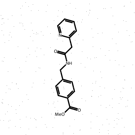 COC(=O)c1ccc(CNC(=O)Cc2ccccn2)cc1